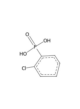 O=P(O)(O)c1ccccc1Cl